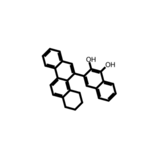 Oc1c(-c2cc3ccccc3c3ccc4c(c23)CCCC4)cc2ccccc2c1O